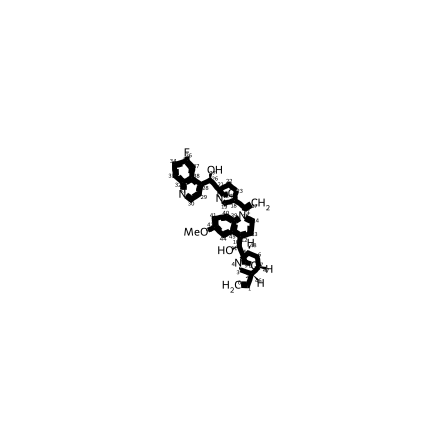 C=C[C@H]1C[N@]2CC[C@H]1C[C@@H]2[C@H](O)c1cc[n+](C(=C)C2CN3CCC2CC3[C@H](O)c2ccnc3ccc(F)cc23)c2ccc(OC)cc12